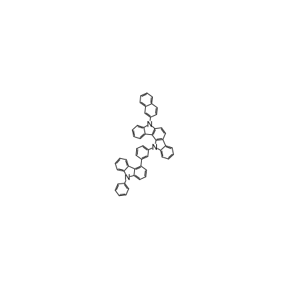 c1ccc(-n2c3ccccc3c3c(-c4cccc(-n5c6ccccc6c6ccc7c(c8ccccc8n7-c7ccc8ccccc8c7)c65)c4)cccc32)cc1